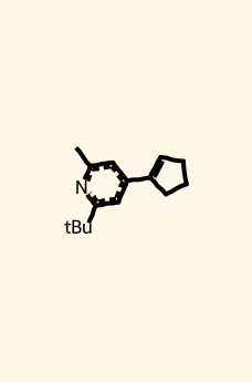 Cc1cc(C2=CCCC2)cc(C(C)(C)C)n1